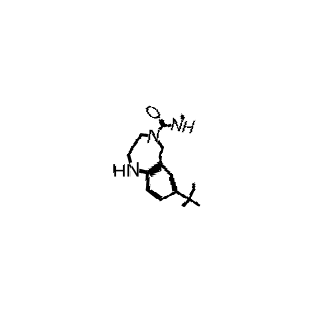 CNC(=O)N1CCNc2ccc(C(C)(C)C)cc2C1